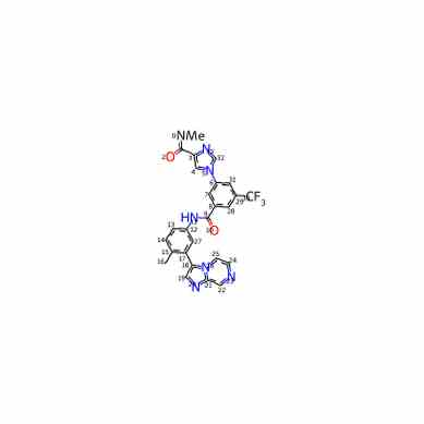 CNC(=O)c1cn(-c2cc(C(=O)Nc3ccc(C)c(-c4cnc5cnccn45)c3)cc(C(F)(F)F)c2)cn1